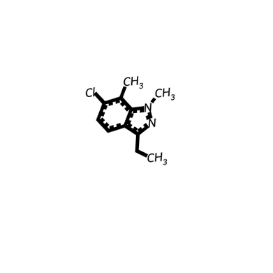 CCc1nn(C)c2c(C)c(Cl)ccc12